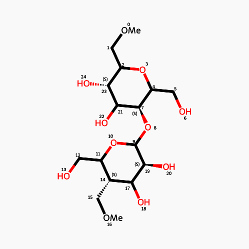 COCC1OC(CO)[C@@H](OC2OC(CO)[C@@H](COC)C(O)[C@@H]2O)C(O)[C@@H]1O